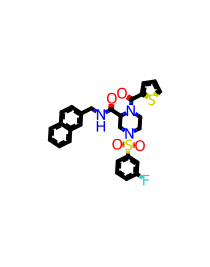 O=C(NCc1ccc2ccccc2c1)C1CN(S(=O)(=O)c2cccc(F)c2)CCN1C(=O)c1cccs1